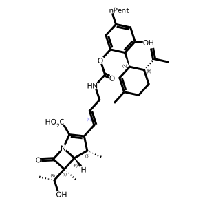 C=C(C)[C@@H]1CCC(C)=C[C@H]1c1c(O)cc(CCCCC)cc1OC(=O)NC/C=C/C1=C(C(=O)O)N2C(=O)[C@](C)([C@@H](C)O)[C@H]2[C@H]1C